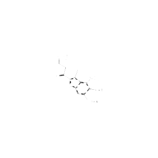 COc1cc2sc(C(=O)CCC(=O)O)c(C)c2c([N+](=O)[O-])c1O